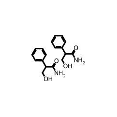 NC(=O)C(CO)c1ccccc1.NC(=O)C(CO)c1ccccc1